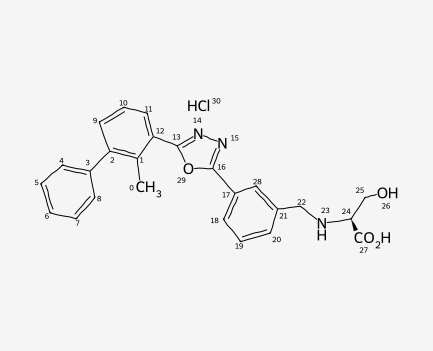 Cc1c(-c2ccccc2)cccc1-c1nnc(-c2cccc(CN[C@@H](CO)C(=O)O)c2)o1.Cl